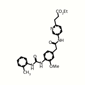 CCOC(=O)CCc1ccc(NC(=O)Cc2ccc(NC(=O)Nc3ccccc3C)c(OC)c2)cn1